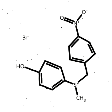 C[S+](Cc1ccc([N+](=O)[O-])cc1)c1ccc(O)cc1.[Br-]